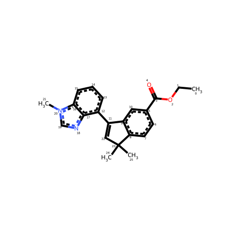 CCOC(=O)c1ccc2c(c1)C(c1cccc3c1ncn3C)=CC2(C)C